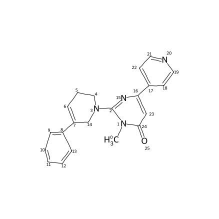 Cn1c(N2CCC=C(c3ccccc3)C2)nc(-c2ccncc2)cc1=O